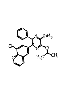 CC(C)Oc1nc(-c2cc(Cl)c3ncccc3c2)c(-c2ccccc2)nc1N